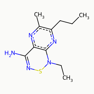 CCCc1nc2c(nc1C)C(N)=NSN2CC